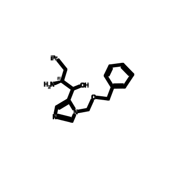 CC(C)C[C@H](N)C(O)c1cncn1COCc1ccccc1